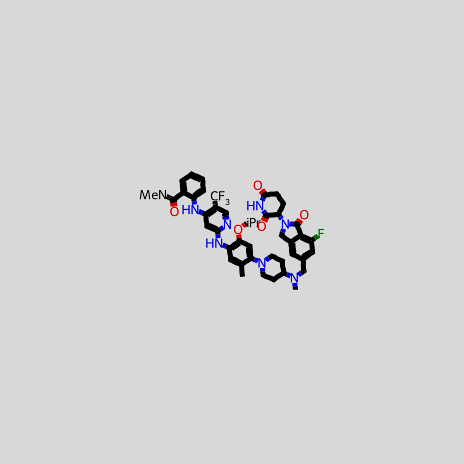 CNC(=O)c1ccccc1Nc1cc(Nc2cc(C)c(N3CCC(N(C)Cc4cc(F)c5c(c4)CN(C4CCC(=O)NC4=O)C5=O)CC3)cc2OC(C)C)ncc1C(F)(F)F